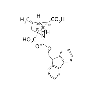 C=C1C[C@@](NC(=O)OCC2c3ccccc3-c3ccccc32)(C(=O)O)[C@H]2[C@@H]1[C@@H]2C(=O)O